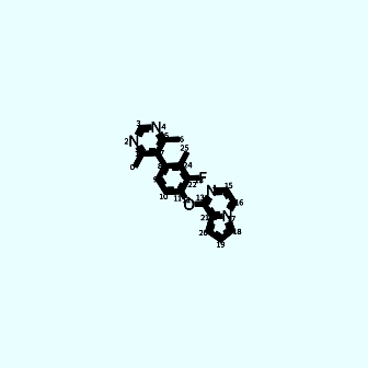 Cc1ncnc(C)c1-c1ccc(Oc2nccn3cccc23)c(F)c1C